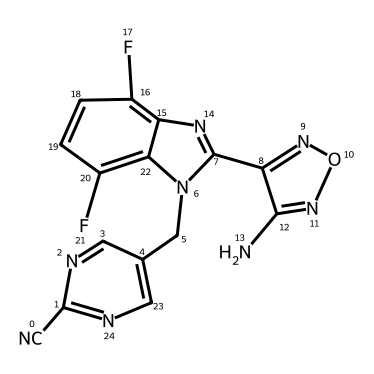 N#Cc1ncc(Cn2c(-c3nonc3N)nc3c(F)ccc(F)c32)cn1